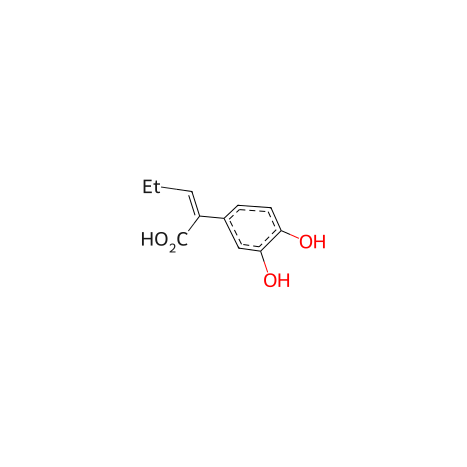 CC/C=C(\C(=O)O)c1ccc(O)c(O)c1